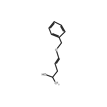 OC(CC=COCc1ccccc1)C(F)(F)F